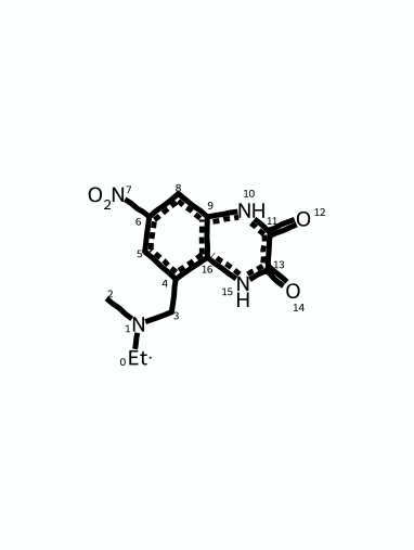 C[CH]N(C)Cc1cc([N+](=O)[O-])cc2[nH]c(=O)c(=O)[nH]c12